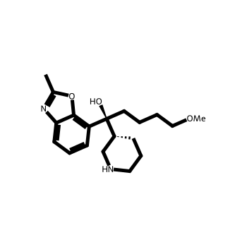 COCCCC[C@@](O)(c1cccc2nc(C)oc12)[C@@H]1CCCNC1